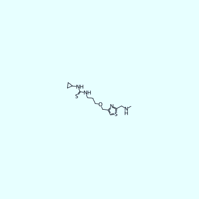 CNCc1nc(COCCCNC(=S)NC2CC2)cs1